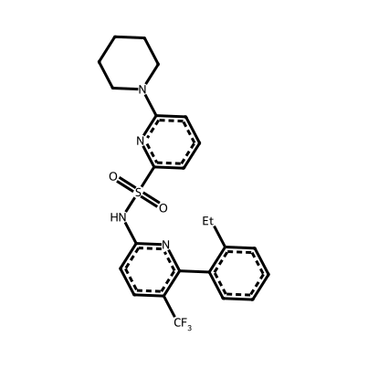 CCc1ccccc1-c1nc(NS(=O)(=O)c2cccc(N3CCCCC3)n2)ccc1C(F)(F)F